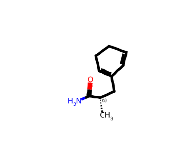 C[C@@H](CC1=CCCC=C1)C(N)=O